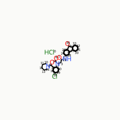 Cl.O=C(CN1C(=O)OC(N2CCCCC2)c2cc(Cl)ccc21)Nc1ccc2c(c1)-c1ccccc1C2=O